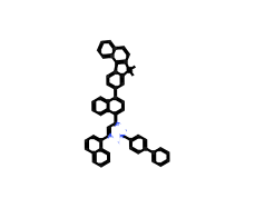 CC1(C)c2cc(-c3ccc(-c4cc(-c5cccc6ccccc56)nc(-c5ccc(-c6ccccc6)cc5)n4)c4ccccc34)ccc2-c2c1ccc1ccccc21